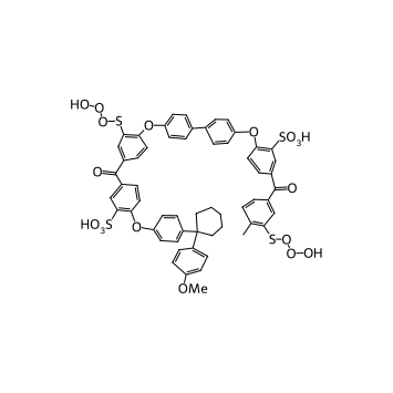 COc1ccc(C2(c3ccc(Oc4ccc(C(=O)c5ccc(Oc6ccc(-c7ccc(Oc8ccc(C(=O)c9ccc(C)c(SOOO)c9)cc8S(=O)(=O)O)cc7)cc6)c(SOOO)c5)cc4S(=O)(=O)O)cc3)CCCCC2)cc1